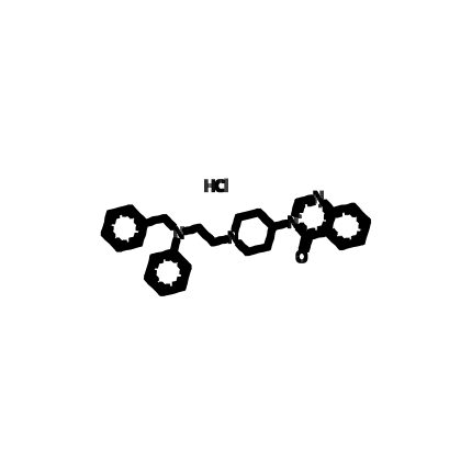 Cl.O=c1c2ccccc2ncn1C1CCN(CCN(Cc2ccccc2)c2ccccc2)CC1